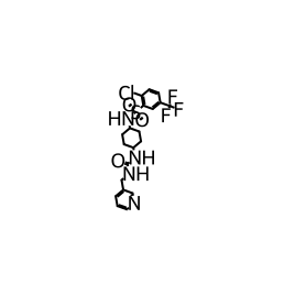 O=C(NCc1cccnc1)NC1CCC(NS(=O)(=O)c2cc(C(F)(F)F)ccc2Cl)CC1